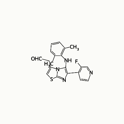 Cc1cccc(C)c1Nc1c(-c2ccncc2F)nc2scc(CC=O)n12